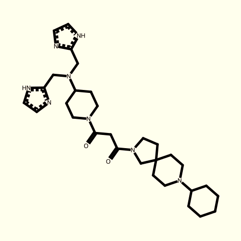 O=C(CC(=O)N1CCC2(CCN(C3CCCCC3)CC2)C1)N1CCC(N(Cc2ncc[nH]2)Cc2ncc[nH]2)CC1